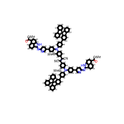 COC(=O)c1ccc2c3c(cccc13)/C(=N/c1ccc(-c3ccc(N(c4ccc(-c5ccc6c(c5)C5(c7ccccc7-c7ccccc75)c5ccccc5-6)cc4)c4ccc(/C(C#N)=C(\C#N)c5ccc(N(c6ccc(-c7ccc(/N=C8\Nc9ccc(C(=O)OC)c%10cccc8c9%10)nc7)cc6)c6ccc(-c7ccc8c(c7)C7(c9ccccc9-c9ccccc97)c7ccccc7-8)cc6)c(OC)c5)cc4OC)cc3)cn1)N2